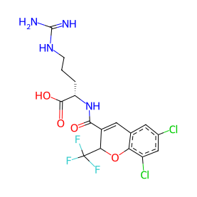 N=C(N)NCCC[C@H](NC(=O)C1=Cc2cc(Cl)cc(Cl)c2OC1C(F)(F)F)C(=O)O